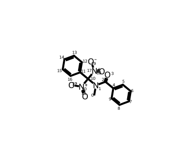 CN(C(=O)c1ccccc1)C(c1ccccc1)([N+](=O)[O-])[N+](=O)[O-]